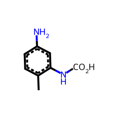 Cc1ccc(N)cc1NC(=O)O